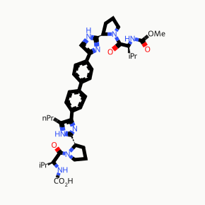 CCCc1[nH]c([C@@H]2CCCN2C(=O)[C@@H](NC(=O)O)C(C)C)nc1-c1ccc(-c2ccc(-c3c[nH]c([C@@H]4CCCN4C(=O)[C@@H](NC(=O)OC)C(C)C)n3)cc2)cc1